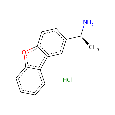 C[C@H](N)c1ccc2oc3ccccc3c2c1.Cl